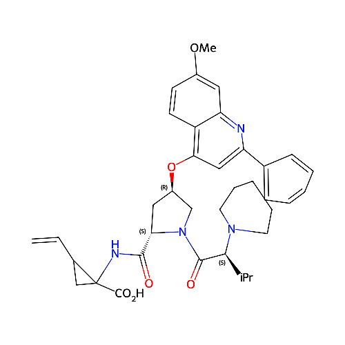 C=CC1CC1(NC(=O)[C@@H]1C[C@@H](Oc2cc(-c3ccccc3)nc3cc(OC)ccc23)CN1C(=O)[C@H](C(C)C)N1CCCCC1)C(=O)O